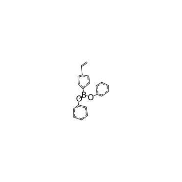 C=Cc1ccc(B(Oc2ccccc2)Oc2ccccc2)cc1